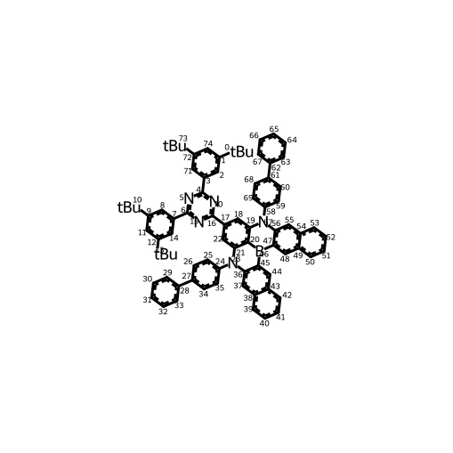 CC(C)(C)c1cc(-c2nc(-c3cc(C(C)(C)C)cc(C(C)(C)C)c3)nc(-c3cc4c5c(c3)N(c3ccc(-c6ccccc6)cc3)c3cc6ccccc6cc3B5c3cc5ccccc5cc3N4c3ccc(-c4ccccc4)cc3)n2)cc(C(C)(C)C)c1